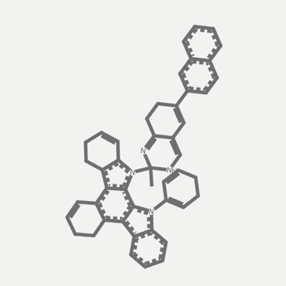 CC1(n2c3c(c4c5c(c6c7ccccc7n(C7=CCCC=C7)c6c42)CCC=C5)CCC=C3)N=C2CCC(c3ccc4ccccc4c3)=CC2=CN1